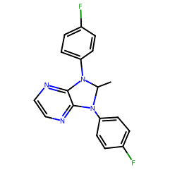 CC1N(c2ccc(F)cc2)c2nccnc2N1c1ccc(F)cc1